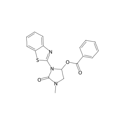 CN1CC(OC(=O)c2ccccc2)N(c2nc3ccccc3s2)C1=O